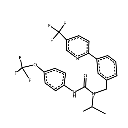 CC(C)N(Cc1cccc(-c2ccc(C(F)(F)F)cn2)c1)C(=O)Nc1ccc(OC(F)(F)F)cc1